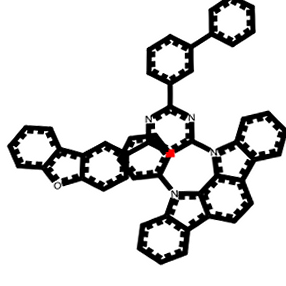 c1ccc(-c2cccc(-c3nc(-c4ccc5oc6ccccc6c5c4)nc(-n4c5ccccc5c5ccc6c7ccccc7n(-c7ccccc7)c6c54)n3)c2)cc1